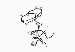 CCC(F)(C(=O)OC12CC3CC(CC(C3)C1)C2)S(=O)(=O)O